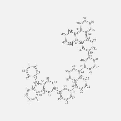 c1ccc(-n2c3ccccc3c3cc(-c4cccc(-c5cccc6c(-c7cccc(-c8ccc9c%10ccccc%10c%10nccnc%10c9c8)c7)cccc56)c4)ccc32)cc1